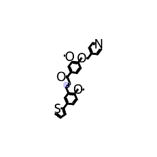 COc1ccc(-c2cccs2)cc1/C=C/C(=O)c1ccc(OCc2ccncc2)c(OC)c1